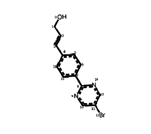 OCC=Cc1ccc(-c2ncc(Br)cn2)cc1